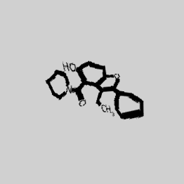 CCc1c(-c2ccccc2)oc2ccc(O)c(C(=O)N3CCCCC3)c12